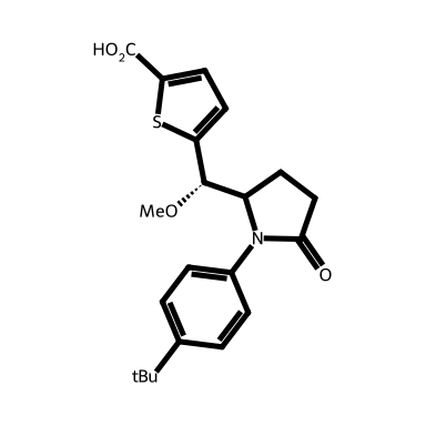 CO[C@H](c1ccc(C(=O)O)s1)C1CCC(=O)N1c1ccc(C(C)(C)C)cc1